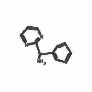 NC(c1ccccc1)c1ncccn1